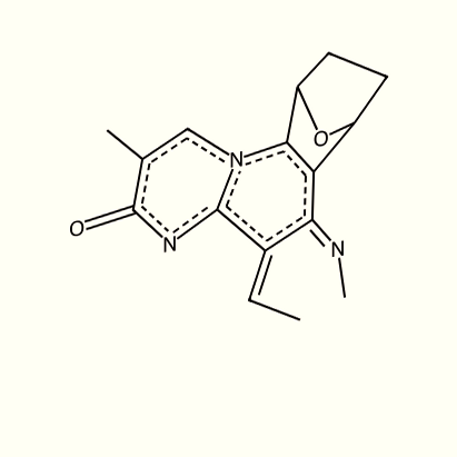 C/C=c1\c(=N/C)c2c(n3cc(C)c(=O)nc13)C1CCC2O1